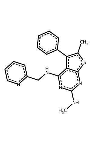 CNc1nc(NCc2ccccn2)c2c(-c3ccccc3)c(C)sc2n1